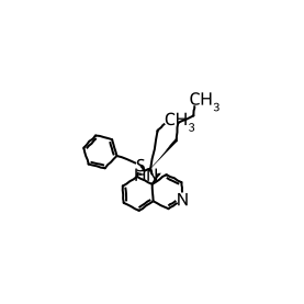 CCCC[C@]1(CC)CS(c2ccccc2)=C2C=CC=C3C=NC=CC32CN1